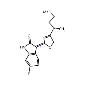 COCCN(C)C1=C/C(=C2\C(=O)Nc3cc(F)ccc32)OC1